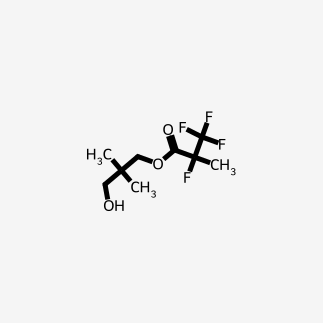 CC(C)(CO)COC(=O)C(C)(F)C(F)(F)F